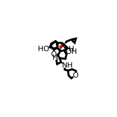 Oc1ccc2c3c1O[C@H]1[C@@]4(CC[C@@H]4NCC4CCOCC4)CC[C@@]4(O)[C@@H](C2)N(CC2CC2)CC[C@]314